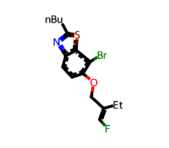 CCCCc1nc2ccc(OC/C(=C/F)CC)c(Br)c2s1